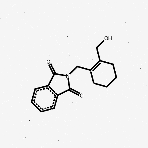 O=C1c2ccccc2C(=O)N1CC1=C(CO)CCCC1